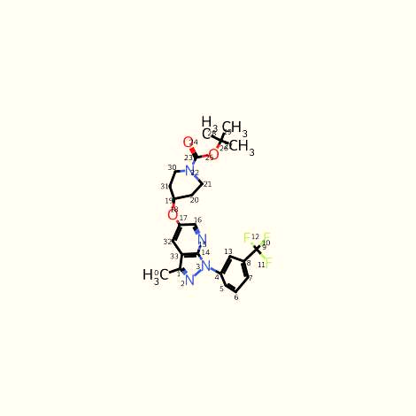 Cc1nn(-c2cccc(C(F)(F)F)c2)c2ncc(OC3CCN(C(=O)OC(C)(C)C)CC3)cc12